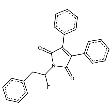 O=C1C(c2ccccc2)=C(c2ccccc2)C(=O)N1C(F)Cc1ccccc1